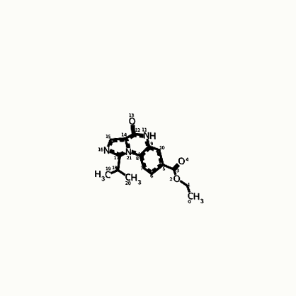 CCOC(=O)c1ccc2c(c1)[nH]c(=O)c1cnc(C(C)C)n12